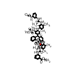 Cc1cc(C)c(NC(=O)Nc2cccc(C(=O)ON)c2)c(C)c1/N=c1/cc2oc3cc(Nc4c(C)cc(C)c(NC(=O)Nc5cccc(NOC=O)c5)c4C)c(NS(=O)(=O)O)cc3c(-c3ccccc3S(=O)(=O)O)c-2cc1S(=O)(=O)ON